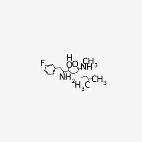 CNC(=O)[C@H](CCC(C)C)C[C@H](O)[C@@H](N)Cc1cccc(F)c1